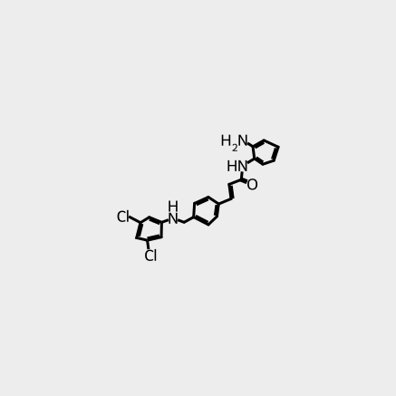 Nc1ccccc1NC(=O)C=Cc1ccc(CNc2cc(Cl)cc(Cl)c2)cc1